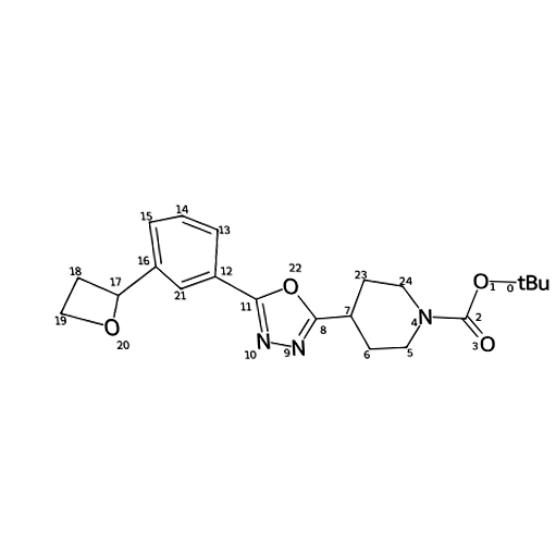 CC(C)(C)OC(=O)N1CCC(c2nnc(-c3cccc(C4CCO4)c3)o2)CC1